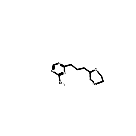 Nc1ncnc(CCCC2CNCCO2)n1